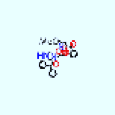 COCc1cc(C(=O)c2ccccc2OCC(O)CN2CCNCC2C(=O)C(c2ccccc2)c2ccccc2)on1